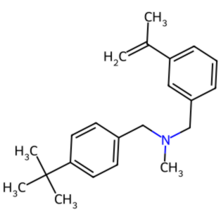 C=C(C)c1cccc(CN(C)Cc2ccc(C(C)(C)C)cc2)c1